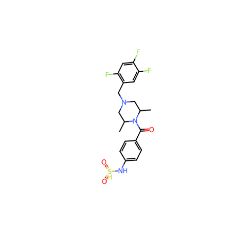 CC1CN(Cc2cc(F)c(F)cc2F)CC(C)N1C(=O)c1ccc(N[SH](=O)=O)cc1